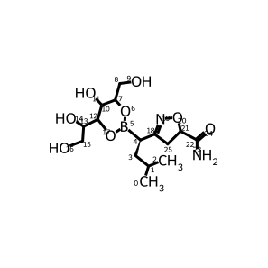 CC(C)C[C@@H](B1OC(CO)C(O)C(C(O)CO)O1)C1=NOC(C(N)=O)C1